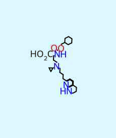 O=C(N[C@@H](CCN(CCCCc1ccc2c(n1)NCCC2)C1CC1)C(=O)O)OCC1CCCCC1